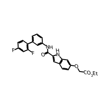 CCOC(=O)COc1ccc2cc(C(=O)Nc3cccc(-c4ccc(F)cc4F)c3)[nH]c2c1